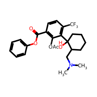 CC(=O)Oc1c(C(=O)Oc2ccccc2)ccc(C(F)(F)F)c1C1(O)CCCCC1CN(C)C